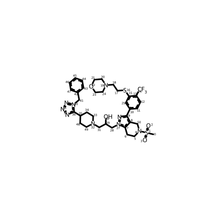 CS(=O)(=O)N1CCc2c(c(-c3ccc(C(F)(F)F)c(SCCN4CCOCC4)c3)nn2CC(O)CN2CCC(c3nnnn3Cc3ccccc3)CC2)C1